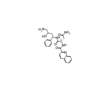 NCC(O)CC(NC(=O)[C@H](CC(N)=O)NC(=O)c1ccc2ccccc2n1)c1ccccc1